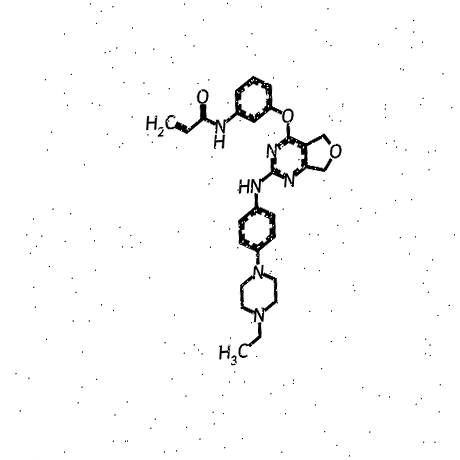 C=CC(=O)Nc1cccc(Oc2nc(Nc3ccc(N4CCN(CC)CC4)cc3)nc3c2COC3)c1